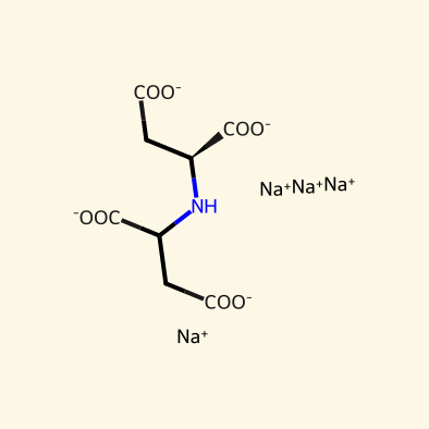 O=C([O-])CC(N[C@@H](CC(=O)[O-])C(=O)[O-])C(=O)[O-].[Na+].[Na+].[Na+].[Na+]